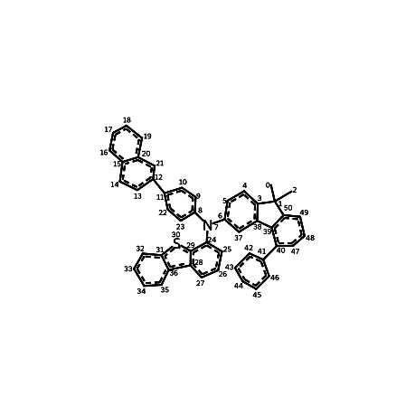 CC1(C)c2ccc(N(c3ccc(-c4ccc5ccccc5c4)cc3)c3cccc4c3sc3ccccc34)cc2-c2c(-c3ccccc3)cccc21